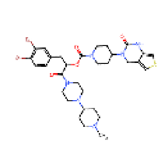 CN1CCC(N2CCN(C(=O)C(Cc3ccc(Br)c(Br)c3)OC(=O)N3CCC(N4Cc5cscc5NC4=O)CC3)CC2)CC1